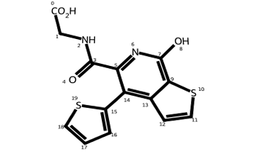 O=C(O)CNC(=O)c1nc(O)c2sccc2c1-c1cccs1